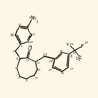 Nc1ccc(CC2CCCCCC(Cc3cccc(C(F)(F)F)c3)C2=O)cc1